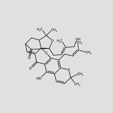 CC(C)=CCc1c2c(c(O)c3c1OC14C(=CC5CC1C(C)(C)OC4(C/C=C(\C)CO)C5=O)C3=O)C=CC(C)(C)O2